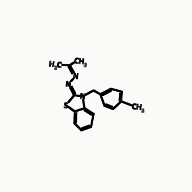 CC(C)=NN=c1sc2ccccc2n1Cc1ccc(C)cc1